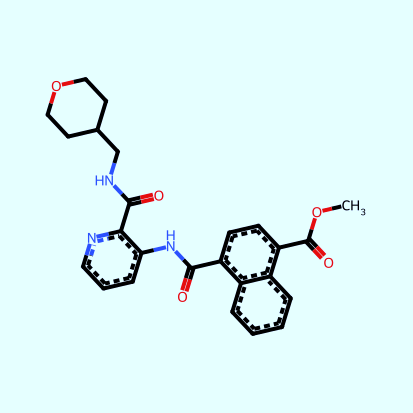 COC(=O)c1ccc(C(=O)Nc2cccnc2C(=O)NCC2CCOCC2)c2ccccc12